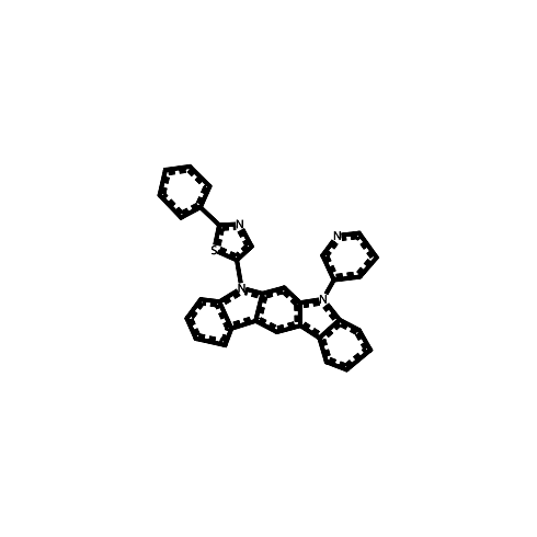 c1ccc(-c2ncc(-n3c4ccccc4c4cc5c6ccccc6n(-c6cccnc6)c5cc43)s2)cc1